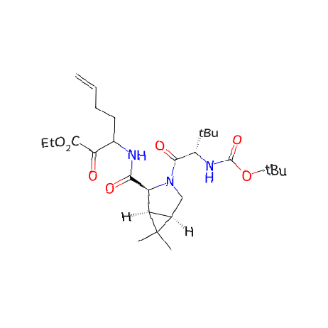 C=CCCC(NC(=O)[C@@H]1[C@H]2[C@@H](CN1C(=O)[C@@H](NC(=O)OC(C)(C)C)C(C)(C)C)C2(C)C)C(=O)C(=O)OCC